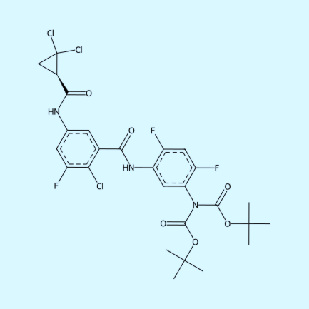 CC(C)(C)OC(=O)N(C(=O)OC(C)(C)C)c1cc(NC(=O)c2cc(NC(=O)[C@H]3CC3(Cl)Cl)cc(F)c2Cl)c(F)cc1F